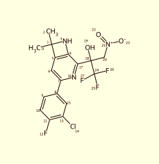 CC1(C)Nc2c1cc(-c1ccc(F)c(Cl)c1)nc2C(O)(C[N+](=O)[O-])C(F)(F)F